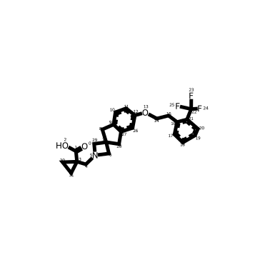 O=C(O)C1(CN2CC3(Cc4ccc(OCCc5ccccc5C(F)(F)F)cc4C3)C2)CC1